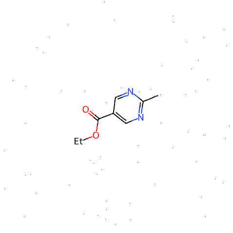 CCOC(=O)c1cnc(C)nc1